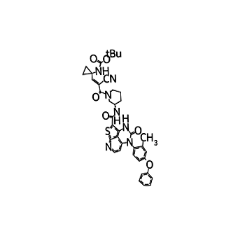 Cc1cc(Oc2ccccc2)ccc1N1C(=O)Nc2c(C(=O)N[C@@H]3CCCN(C(=O)/C(C#N)=C/C4(NC(=O)OC(C)(C)C)CC4)C3)sc3nccc1c23